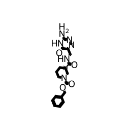 Nc1nnc(CNC(=O)[C@@H]2CCCN(C(=O)OCc3ccccc3)C2)c(=O)[nH]1